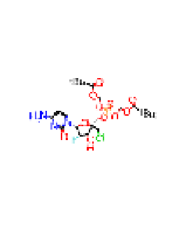 CC(C)(C)C(=O)OCOP(=O)(OCOC(=O)C(C)(C)C)OC[C@@]1(CCl)O[C@@H](n2ccc(N)nc2=O)[C@H](F)[C@@H]1O